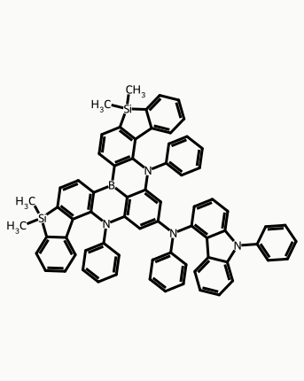 C[Si]1(C)c2ccccc2-c2c1ccc1c2N(c2ccccc2)c2cc(N(c3ccccc3)c3cccc4c3c3ccccc3n4-c3ccccc3)cc3c2B1c1ccc2c(c1N3c1ccccc1)-c1ccccc1[Si]2(C)C